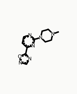 CN1CCN(c2nccc(-c3ncno3)n2)CC1